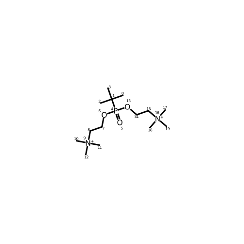 CC(C)(C)P(=O)(OCC[N+](C)(C)C)OCC[N+](C)(C)C